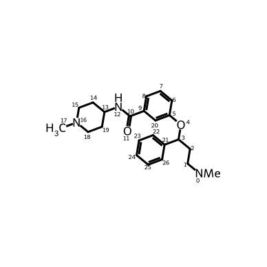 CNCCC(Oc1cccc(C(=O)NC2CCN(C)CC2)c1)c1ccccc1